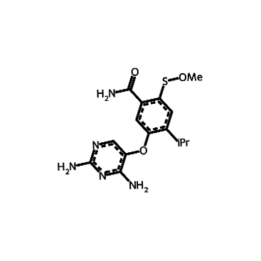 COSc1cc(C(C)C)c(Oc2cnc(N)nc2N)cc1C(N)=O